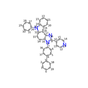 c1ccc(-c2ccc(-n3c(-c4ccncc4)nc4c5c6ccccc6n(-c6ccccc6)c5ccc43)cc2)cc1